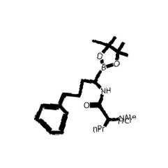 CCCC(NC)C(=O)NC(CCCc1ccccc1)B1OC(C)(C)C(C)(C)O1.Cl